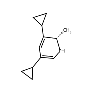 C[C@@H]1PC=C(C2CC2)C=C1C1CC1